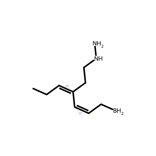 BC/C=C\C(=C/CC)CCNN